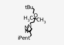 CCCC(C)Cc1cn(CCC(C)(C)OCCC(C)(C)C)nn1